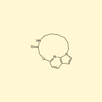 O=C1COc2ccc3ccn(c3n2)CCCCCCN1